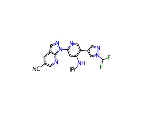 CC(C)Nc1cc(-n2ncc3cc(C#N)cnc32)ncc1-c1cnn(C(F)F)c1